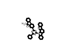 CC1(C)c2ccccc2-c2ccc(-c3nc(-c4ccccc4)nc(-n4c5ccccc5c5ccc6c7ccccc7sc6c54)n3)cc21